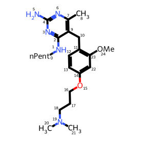 CCCCCNc1nc(N)nc(C)c1Cc1ccc(OCCCN(C)C)cc1OC